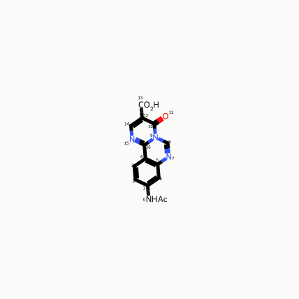 CC(=O)Nc1ccc2c(c1)ncn1c(=O)c(C(=O)O)cnc21